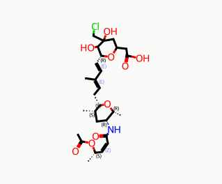 CC(=O)O[C@@H](C)/C=C\C(=O)N[C@@H]1C[C@H](C)[C@H](C/C=C(C)/C=C/[C@H]2OC(CC(=O)O)CC(O)(CCl)C2O)O[C@@H]1C